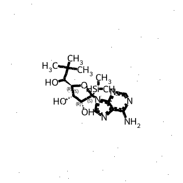 C[SiH](C)[C@@]1(n2cnc3c(N)ncnc32)O[C@H](C(O)C(C)(C)C)[C@@H](O)[C@H]1O